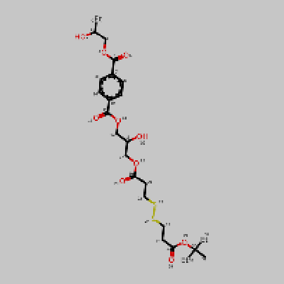 CCC(O)COC(=O)c1ccc(C(=O)OCC(O)COC(=O)CCSSCCC(=O)OC(C)(CC)CC)cc1